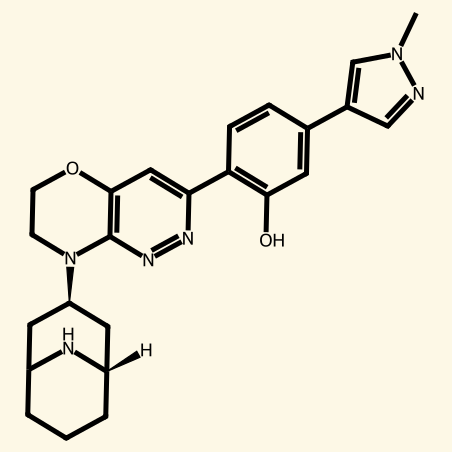 Cn1cc(-c2ccc(-c3cc4c(nn3)N([C@@H]3CC5CCC[C@@H](C3)N5)CCO4)c(O)c2)cn1